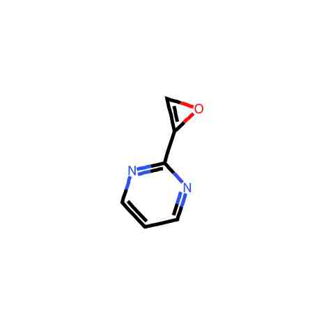 C1=C(c2ncccn2)O1